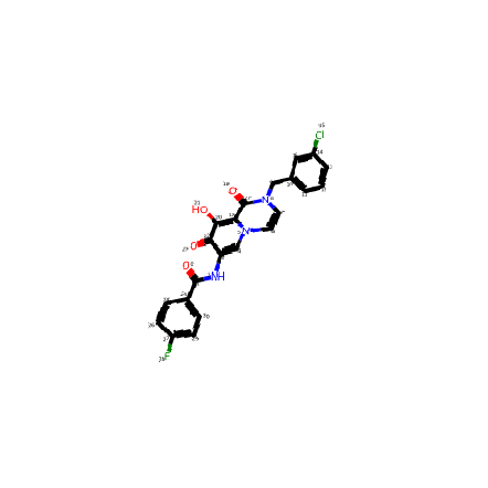 O=C(Nc1cn2ccn(Cc3cccc(Cl)c3)c(=O)c2c(O)c1=O)c1ccc(F)cc1